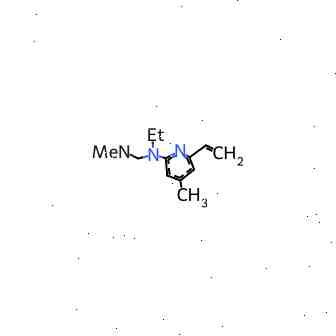 C=Cc1cc(C)cc(N(CC)CNC)n1